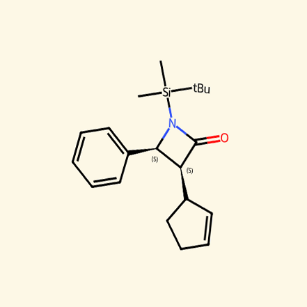 CC(C)(C)[Si](C)(C)N1C(=O)[C@@H](C2C=CCC2)[C@H]1c1ccccc1